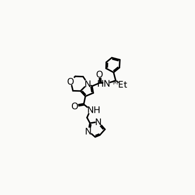 CC[C@@H](NC(=O)c1cc(C(=O)NCc2ncccn2)c2n1CCOC2)c1ccccc1